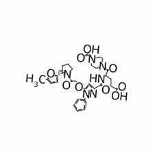 Cc1ccc([C@@H]2CCCN2C(=O)COc2cc(C(=O)NC(CCC(=O)O)C(=O)N3CCN(C(=O)O)CC3)nn2-c2ccccc2)o1